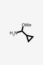 COC(N)C1CC1